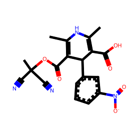 CC1=C(C(=O)O)C(c2cccc([N+](=O)[O-])c2)C(C(=O)OC(C)(C#N)C#N)=C(C)N1